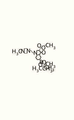 CCOC(=O)c1cn(CCN2CCN(C)CC2)c2ccc(B3OC(C)(C)C(C)(C)O3)cc2c1=O